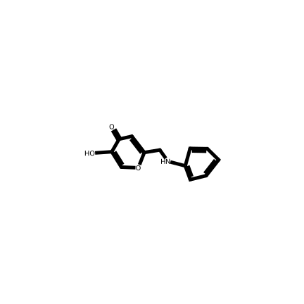 O=c1cc(CNc2ccccc2)occ1O